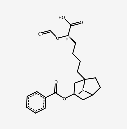 CN1C2CCC1(CCCC[C@@H](OC=O)C(=O)O)CC(OC(=O)c1ccccc1)C2